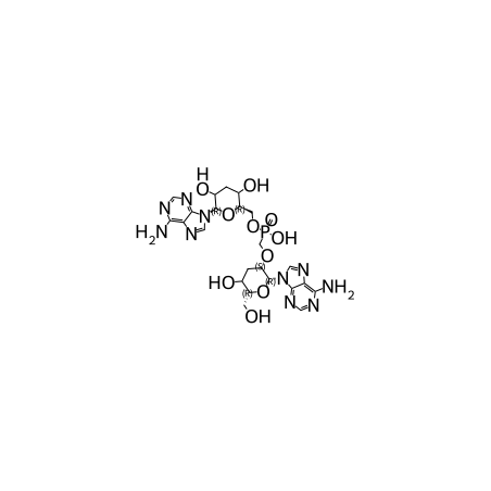 Nc1ncnc2c1ncn2[C@@H]1O[C@H](COP(=O)(O)CO[C@H]2CC(O)[C@@H](CO)O[C@H]2n2cnc3c(N)ncnc32)C(O)CC1O